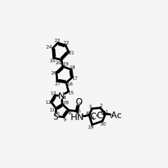 CC(=O)C12CCC(NC(=O)c3csc4ccn(Cc5ccc(-c6ccccc6)cc5)c34)(CC1)CC2